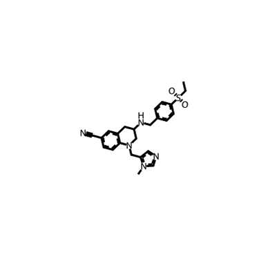 CCS(=O)(=O)c1ccc(CNC2Cc3cc(C#N)ccc3N(Cc3cncn3C)C2)cc1